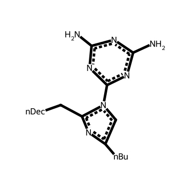 CCCCCCCCCCCc1nc(CCCC)cn1-c1nc(N)nc(N)n1